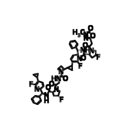 Cn1nc(CC(=O)N2C[C@H](F)C[C@H]2C(=O)N[C@@H](c2ccccc2)c2ccc(C3CC3C3CCN3C(=O)NCC(=O)N3C[C@H](F)C[C@H]3C(=O)N[C@@H](c3ccccc3)c3ccc(C4CC4)c(F)n3)c(F)n2)oc1=O